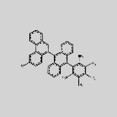 Bc1c(B)c(B)c(-c2c3ccccc3c(-c3cc4ccccc4c4cc(Cl)ccc34)c3ccccc23)c(B)c1B